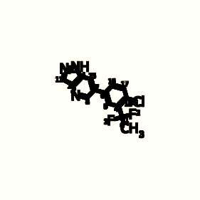 CC(F)(F)c1cc(-c2cnc3cn[nH]c3c2)ccc1Cl